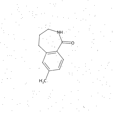 Cc1ccc2c(c1)CCCNC2=O